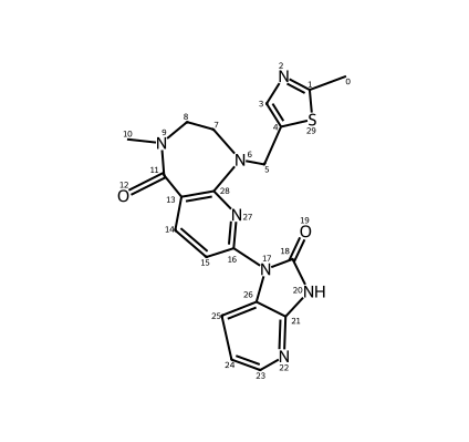 Cc1ncc(CN2CCN(C)C(=O)c3ccc(-n4c(=O)[nH]c5ncccc54)nc32)s1